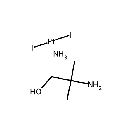 CC(C)(N)CO.N.[I][Pt][I]